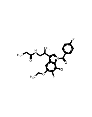 CCOc1cc2c(C(C)CNC(=O)CC)cn(C(=O)c3ccc(Br)cc3)c2c(Cl)c1Cl